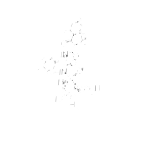 CC1(C)S[C@@H]2[C@H](NC(=O)C(NC(=O)c3coc4ccccc4c3=O)c3ccccc3)C(=O)N2[C@H]1C(=O)O